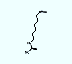 C=C(C#N)NCCCCCCCCCCCC